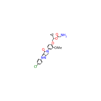 COc1cc(N2Cc3nn(-c4ccc(Cl)cc4)cc3C2=O)ccc1OCC(OC(=O)CN)C1CC1